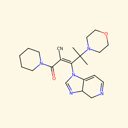 CC(C)(C(=C(C#N)C(=O)N1CCCCC1)N1C=NC2CN=CC=C21)N1CCOCC1